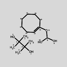 CC(C)(O)C(C)(C)O.OB(O)OC1=CCCCCCC1